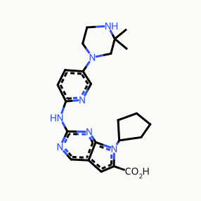 CC1(C)CN(c2ccc(Nc3ncc4cc(C(=O)O)n(C5CCCC5)c4n3)nc2)CCN1